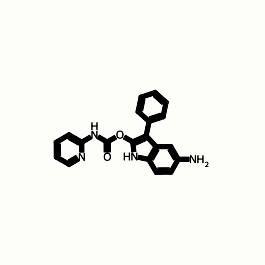 Nc1ccc2[nH]c(OC(=O)Nc3ccccn3)c(-c3ccccc3)c2c1